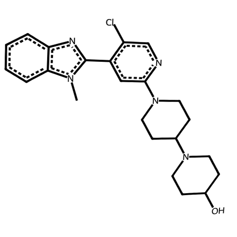 Cn1c(-c2cc(N3CCC(N4CCC(O)CC4)CC3)ncc2Cl)nc2ccccc21